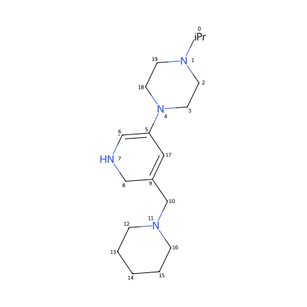 CC(C)N1CCN(C2=[C]NCC(CN3CCCCC3)=C2)CC1